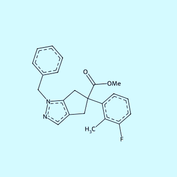 COC(=O)C1(c2cccc(F)c2C)Cc2cnn(Cc3ccccc3)c2C1